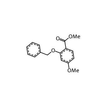 COC(=O)c1ccc(OC)cc1OCc1ccccc1